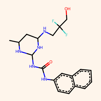 CC1CC(NCC(F)(F)CO)NC(NC(=O)Nc2ccc3ccccc3c2)N1